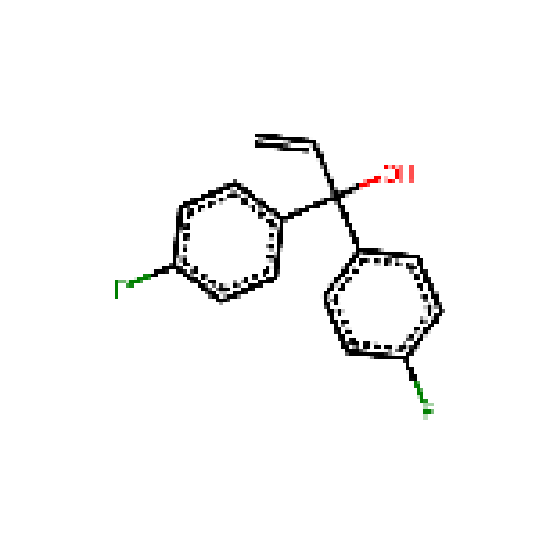 C=CC(O)(c1ccc(F)cc1)c1ccc(F)cc1